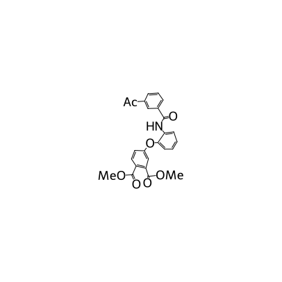 COC(=O)c1ccc(Oc2ccccc2NC(=O)c2cccc(C(C)=O)c2)cc1C(=O)OC